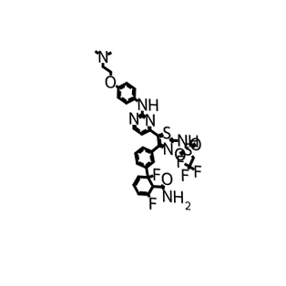 CN(C)CCOc1ccc(Nc2nccc(-c3sc(NS(=O)(=O)CC(F)(F)F)nc3-c3cccc(C4(F)C=CC=C(F)C4C(N)=O)c3)n2)cc1